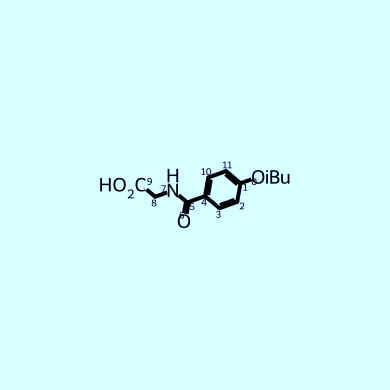 CC(C)COc1ccc(C(=O)NCC(=O)O)cc1